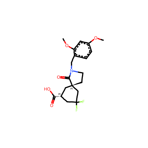 COc1ccc(CN2CC[C@@]3(C[C@@H](C(=O)O)CC(F)(F)C3)C2=O)c(OC)c1